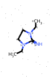 CCN1CCN(CC)C1=N